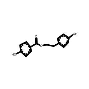 O=C(OCCc1ccc(O)cc1)c1ccc(O)cc1